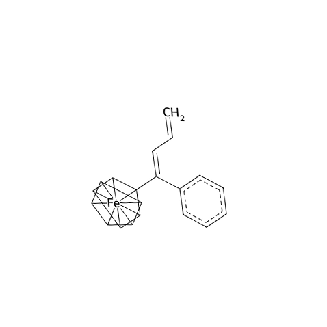 C=CC=C(c1ccccc1)[C]12[CH]3[CH]4[CH]5[CH]1[Fe]45321678[CH]2[CH]1[CH]6[CH]7[CH]28